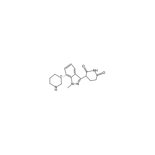 Cn1nc(C2CCC(=O)NC2=O)c2cccc([C@H]3CCCNC3)c21